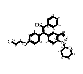 CCC(=C(c1ccc(OCCCl)cc1)c1ccc2c(cnn2C2CCCCO2)c1)c1ccccc1